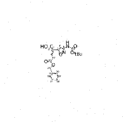 CC(C)(C)OC(=O)Nc1cc(C(=CCC(=O)OCc2ccccc2)C(=O)O)on1